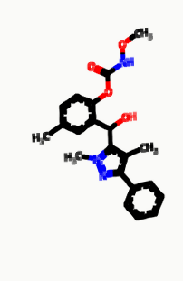 CONC(=O)Oc1ccc(C)cc1C(O)c1c(C)c(-c2ccccc2)nn1C